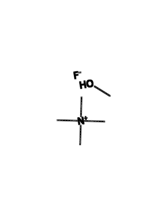 CO.C[N+](C)(C)C.[F-]